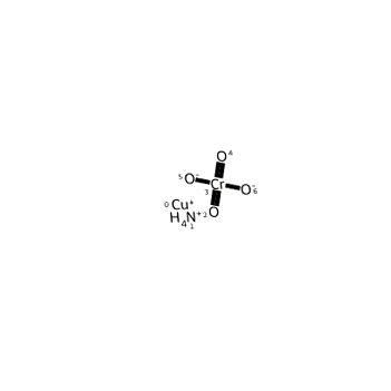 [Cu+].[NH4+].[O]=[Cr](=[O])([O-])[O-]